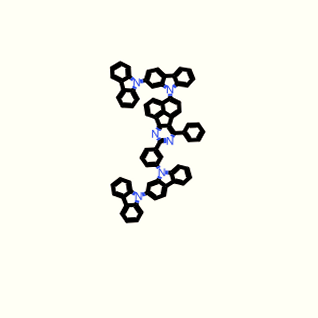 c1ccc(-c2nc(-c3cccc(-n4c5ccccc5c5ccc(-n6c7ccccc7c7ccccc76)cc54)c3)nc3c2-c2ccc(-n4c5ccccc5c5ccc(-n6c7ccccc7c7ccccc76)cc54)c4cccc-3c24)cc1